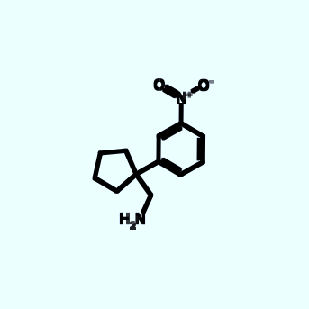 NCC1(c2cccc([N+](=O)[O-])c2)CCCC1